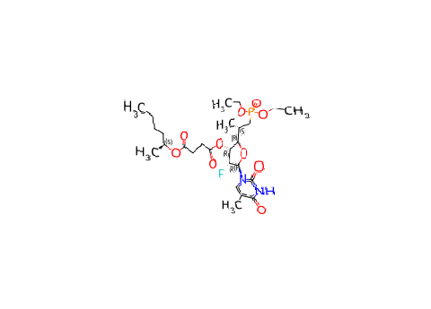 CCCC[C@H](C)OC(=O)CCC(=O)O[C@H]1[C@@H](F)[C@H](n2cc(C)c(=O)[nH]c2=O)O[C@@H]1[C@H](C)CP(=O)(OCC)OCC